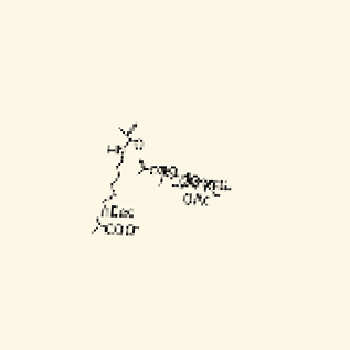 C=C(C)C(=O)NCCCCCCCCCCCCCCCC.C=C(C)C(=O)[O-].C=C(C)C(=O)[O-].C=C(C)C(=O)[O-].C=C(C)C(=O)[O-].C=COC(C)=O.[C+4]